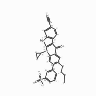 CCCCc1cc2c(=O)c3c4ccc(C#N)cc4[nH]c3n(C3CC3)c2cc1-c1cccc(S(=O)(=O)F)c1